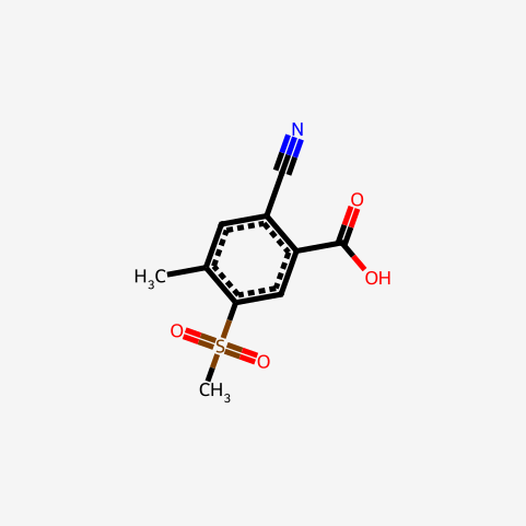 Cc1cc(C#N)c(C(=O)O)cc1S(C)(=O)=O